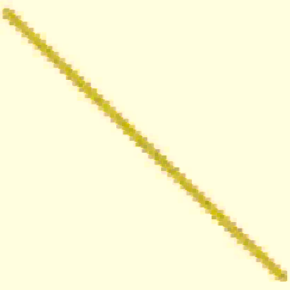 S=S=S=S=S=S=S=S=S=S=S=S=S=S=S=S=S=S=S=S=S=S=S=S=S=S=S=S=S=S=S=S=S=S=S=S=S=S=S=S=S=S=S=S=S=S=S=S=S=S=S=S=S=S=S=S=S=S=S=S=S=S=S=S=S=S=S=S=S=S=S=S=S=S=S=S=S=S=S=S=S=S=S=S=S=S=S=S